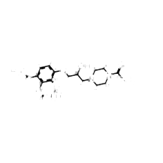 COc1ccc(OCC(O)CN2CCN(C(N)=O)CC2)c(OC)c1OC